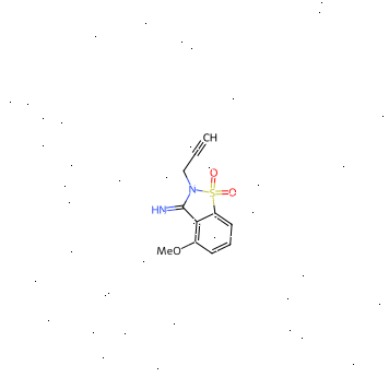 C#CCN1C(=N)c2c(OC)cccc2S1(=O)=O